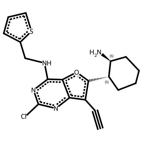 C#Cc1c([C@H]2CCCC[C@@H]2N)oc2c(NCc3cccs3)nc(Cl)nc12